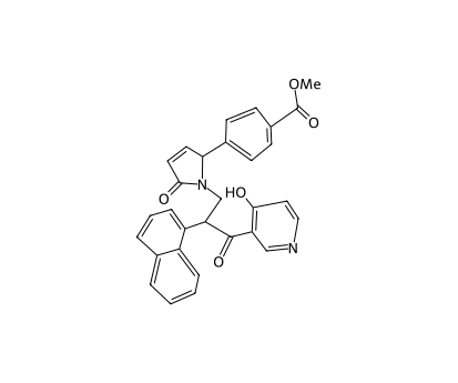 COC(=O)c1ccc(C2C=CC(=O)N2CC(C(=O)c2cnccc2O)c2cccc3ccccc23)cc1